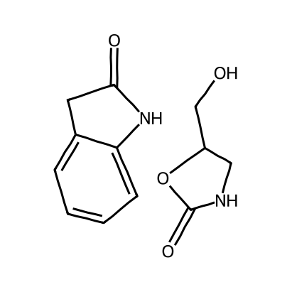 O=C1Cc2ccccc2N1.O=C1NCC(CO)O1